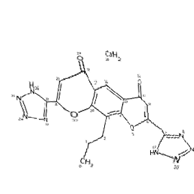 CCCc1c2oc(-c3nnn[nH]3)cc(=O)c2cc2c(=O)cc(-c3nnn[nH]3)oc12.[CaH2]